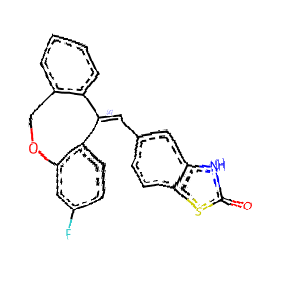 O=c1[nH]c2cc(/C=C3/c4ccccc4COc4cc(F)ccc43)ccc2s1